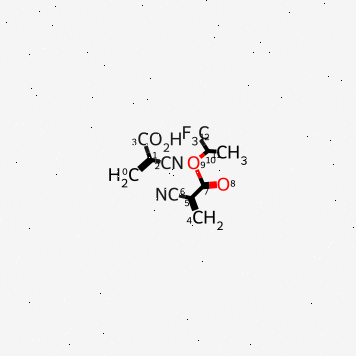 C=C(C#N)C(=O)O.C=C(C#N)C(=O)OC(C)C(F)(F)F